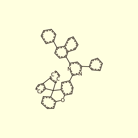 c1ccc(-c2cc(-c3ccc(-c4ccccc4)c4ccccc34)nc(-c3ccc4c(c3)C3(c5ccccc5O4)c4ccccc4-c4ccccc43)n2)cc1